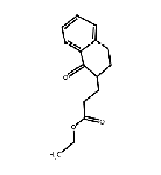 CCOC(=O)CCC1CCc2ccccc2C1=O